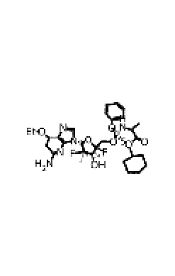 CCOC1CC(N)=Nc2c1ncn2[C@@H]1O[C@](F)(COP(=S)(NC(C)C(=O)OC2CCCCC2)Oc2ccccc2)[C@@H](O)[C@@]1(C)F